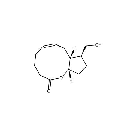 O=C1CCC/C=C\C[C@@H]2[C@@H](CO)CC[C@@H]2O1